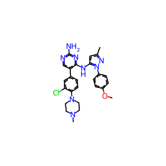 COc1ccc(-n2nc(C)cc2Nc2nc(N)ncc2-c2ccc(N3CCN(C)CC3)c(Cl)c2)cc1